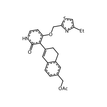 CCc1csc(COc2cc[nH]c(=O)c2C2=Cc3ccc(COC(C)=O)cc3CC2)n1